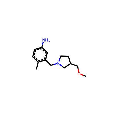 COCC1CCN(Cc2cc(N)ccc2C)C1